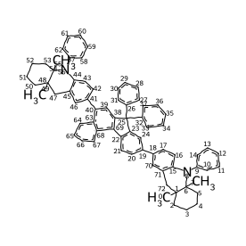 CC12CCCCC1(C)N(c1ccccc1)c1ccc(-c3ccc4c(c3)C(c3ccccc3)(c3ccccc3)c3cc(-c5ccc6c(c5)CC5(C)CCCCC5(C)N6c5ccccc5)c5ccccc5c3-4)cc1C2